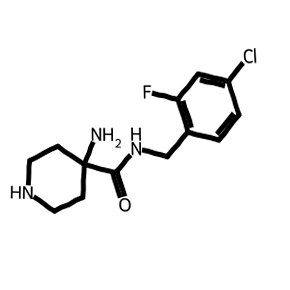 NC1(C(=O)NCc2ccc(Cl)cc2F)CCNCC1